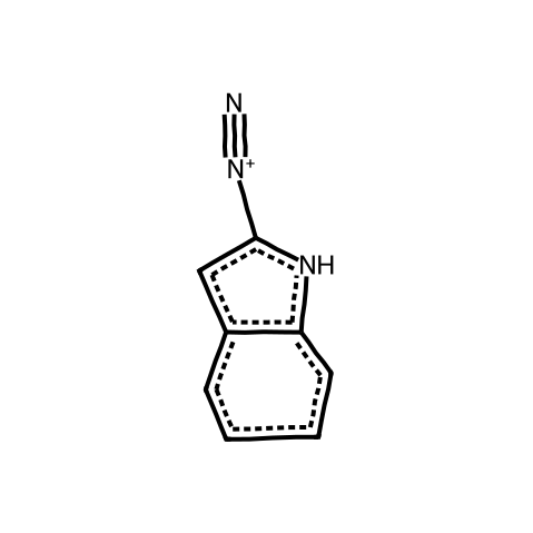 N#[N+]c1cc2ccccc2[nH]1